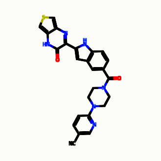 N#Cc1ccc(N2CCN(C(=O)c3ccc4[nH]c(-c5nc6cscc6[nH]c5=O)cc4c3)CC2)nc1